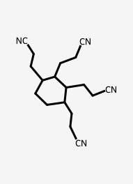 N#CCCC1CCC(CCC#N)C(CCC#N)C1CCC#N